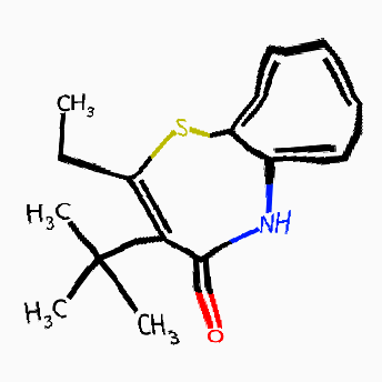 CCC1=C(C(C)(C)C)C(=O)Nc2ccccc2S1